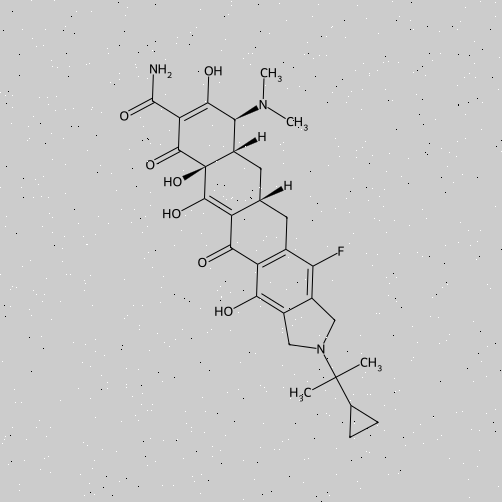 CN(C)[C@@H]1C(O)=C(C(N)=O)C(=O)[C@@]2(O)C(O)=C3C(=O)c4c(O)c5c(c(F)c4C[C@H]3C[C@@H]12)CN(C(C)(C)C1CC1)C5